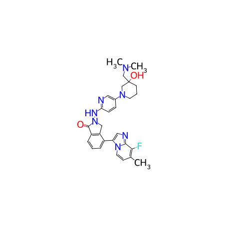 Cc1ccn2c(-c3cccc4c3CN(Nc3ccc(N5CCCC(O)(CN(C)C)C5)cn3)C4=O)cnc2c1F